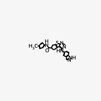 Cc1ccc(NC(=O)C2CCc3c(sc4ncnc(Nc5ccc6[nH]ncc6c5)c34)C2)cc1